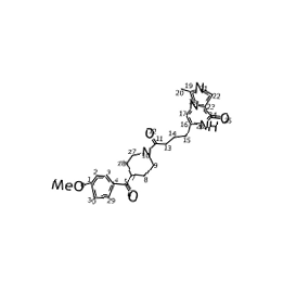 COc1ccc(C(=O)C2CCN(C(=O)CCCc3cn4c(C)ncc4c(=O)[nH]3)CC2)cc1